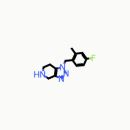 Cc1cc(F)ccc1Cn1nnc2c1CCNC2